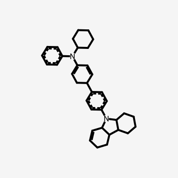 C1=CC2C(CC1)C1CCCCC1N2c1ccc(C2C=CC(N(c3ccccc3)C3CCCCC3)=CC2)cc1